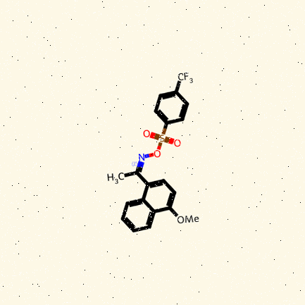 COc1ccc(/C(C)=N\OS(=O)(=O)c2ccc(C(F)(F)F)cc2)c2ccccc12